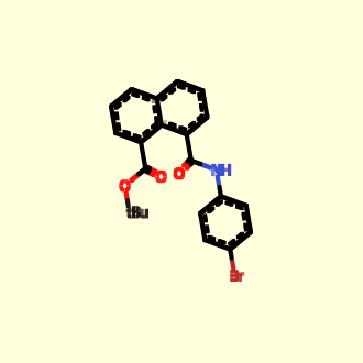 CC(C)(C)OC(=O)c1cccc2cccc(C(=O)Nc3ccc(Br)cc3)c12